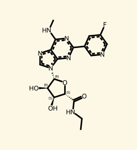 CCNC(=O)[C@H]1O[C@@H](n2cnc3c(NC)nc(-c4cncc(F)c4)nc32)[C@H](O)[C@@H]1O